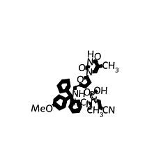 COc1ccc(C(NC[C@H]2O[C@@H](n3cc(C)c(=O)[nH]c3=O)C[C@@H]2OP(O)N(CCC#N)N(C)C)(c2ccccc2)c2ccccc2)cc1